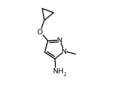 Cn1nc(OC2CC2)cc1N